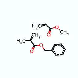 C=C(C)C(=O)OCc1ccccc1.C=CC(=O)OC